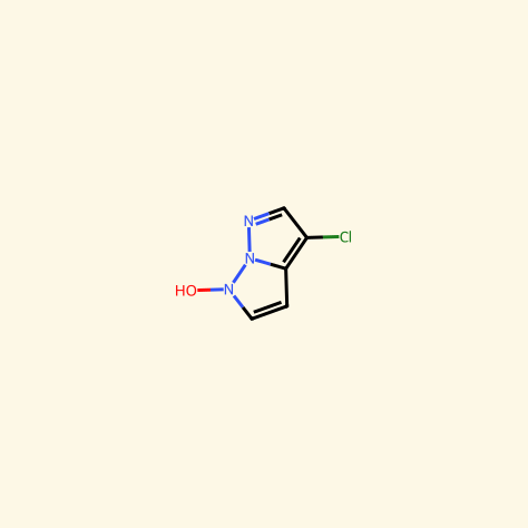 On1ccc2c(Cl)cnn21